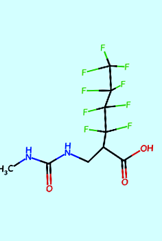 CNC(=O)NCC(C(=O)O)C(F)(F)C(F)(F)C(F)(F)C(F)(F)F